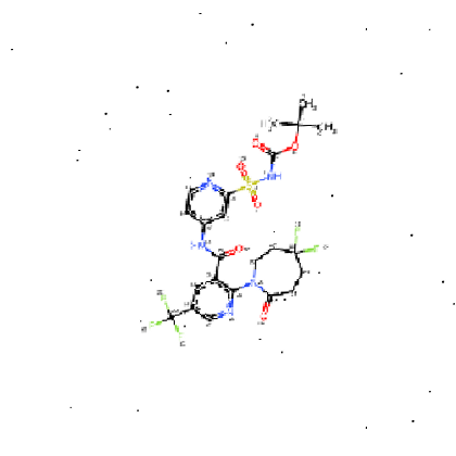 CC(C)(C)OC(=O)NS(=O)(=O)c1cc(NC(=O)c2cc(C(F)(F)F)cnc2N2CCC(F)(F)CCC2=O)ccn1